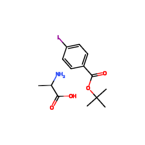 CC(C)(C)OC(=O)c1ccc(I)cc1.CC(N)C(=O)O